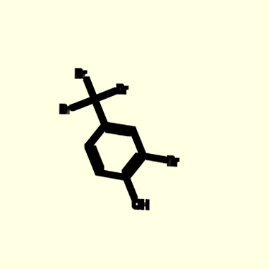 Oc1ccc(C(Br)(Br)Br)cc1Br